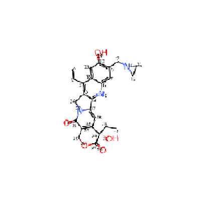 CCc1c2c(nc3cc(CN4CC4)c(O)cc13)-c1cc3c(c(=O)n1C2)COC(=O)[C@]3(O)CC